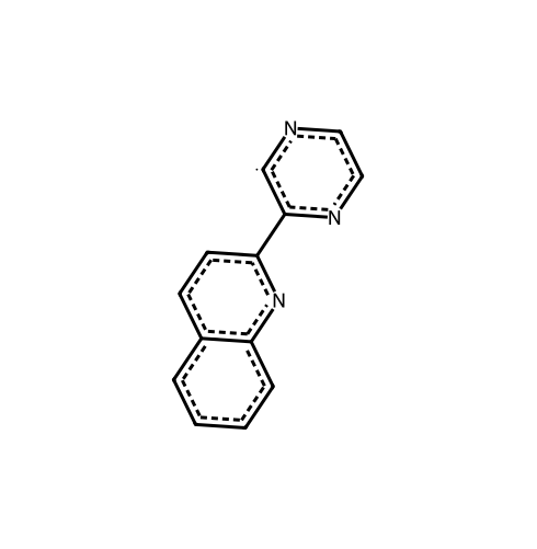 [c]1nccnc1-c1ccc2ccccc2n1